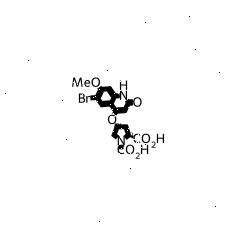 COc1cc2[nH]c(=O)cc(O[C@@H]3C[C@@H](C(=O)O)N(C(=O)O)C3)c2cc1Br